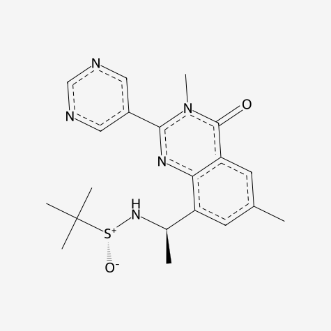 Cc1cc([C@@H](C)N[S@+]([O-])C(C)(C)C)c2nc(-c3cncnc3)n(C)c(=O)c2c1